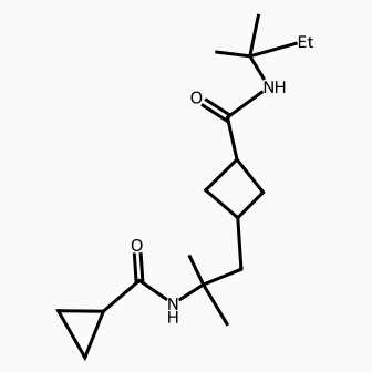 CCC(C)(C)NC(=O)C1CC(CC(C)(C)NC(=O)C2CC2)C1